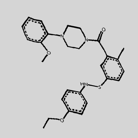 CCOc1ccc(NSc2ccc(C)c(C(=O)N3CCN(c4ccccc4OC)CC3)c2)cc1